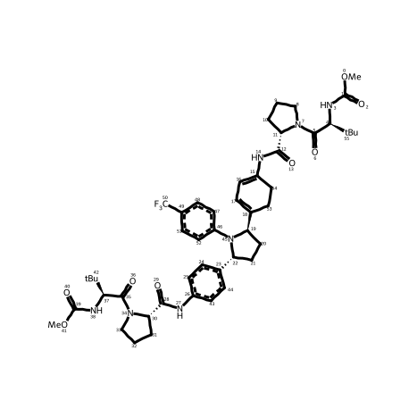 COC(=O)N[C@H](C(=O)N1CCC[C@H]1C(=O)NC1=CC=C([C@H]2CC[C@H](c3ccc(NC(=O)[C@@H]4CCCN4C(=O)[C@@H](NC(=O)OC)C(C)(C)C)cc3)N2c2ccc(C(F)(F)F)cc2)CC1)C(C)(C)C